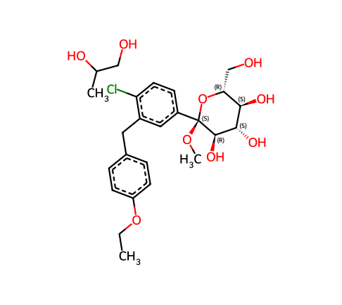 CC(O)CO.CCOc1ccc(Cc2cc([C@]3(OC)O[C@H](CO)[C@@H](O)[C@H](O)[C@H]3O)ccc2Cl)cc1